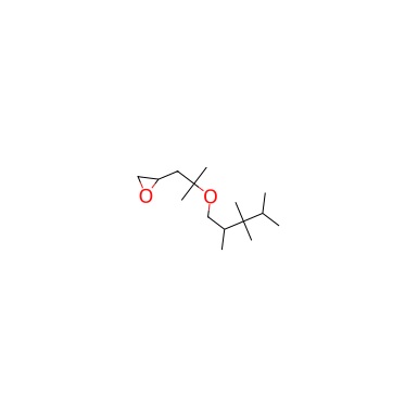 CC(C)C(C)(C)C(C)COC(C)(C)CC1CO1